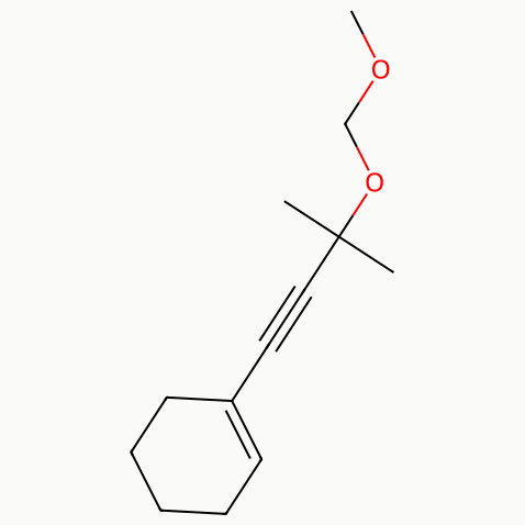 COCOC(C)(C)C#CC1=CCCCC1